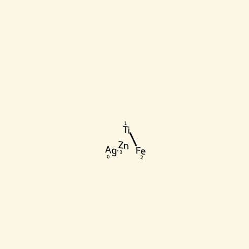 [Ag].[Ti][Fe].[Zn]